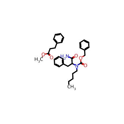 CCCCCN(C(=O)OCc1ccccc1)C(Cc1ccccc1)C(N)=O.COC(=O)CCc1ccccc1